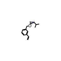 C=Cc1cccc(CO/N=[C]\C(C)C)c1